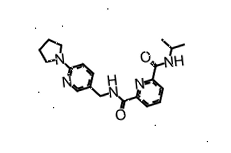 CC(C)NC(=O)c1cccc(C(=O)NCc2ccc(N3CCCC3)nc2)n1